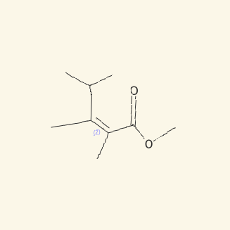 COC(=O)/C(C)=C(/C)C(C)C